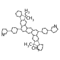 CC1(C)c2ccccc2-c2cc3c(-c4ccc(-c5cccnc5)cc4)cc4cc5c(cc(-c6ccc(-c7cccnc7)cc6)c6cc7c(cc65)C(C)(C)c5ccccc5-7)cc4c3cc21